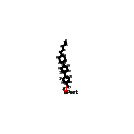 C=CCCCC1CCC(c2ccc(-c3ccc(COCCCCC)cc3)cc2)CC1